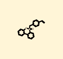 C=Cc1ccc(CP2(=O)Oc3ccccc3-c3ccccc32)cc1